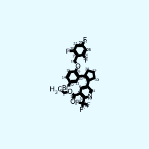 CCOC(=O)c1cc(C2=C(c3cc(Br)ccc3OCc3c(F)cc(F)cc3F)CCC2)cnc1C(F)(F)F